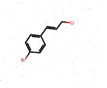 [O]C/C=C/c1ccc(Br)cc1